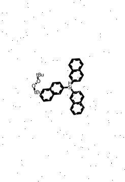 CC(C)(C)OOC(C)(C)C.c1ccc2cc([SiH](c3ccc4ccccc4c3)c3ccc4ccccc4c3)ccc2c1